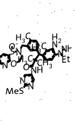 CCN(N)c1ccc(C(c2ccc(C)c(CN3CCOc4ncccc4[S+]3[O-])c2)C(C)(C)C(=O)Nc2cnc(SC)nc2)c(C)c1N